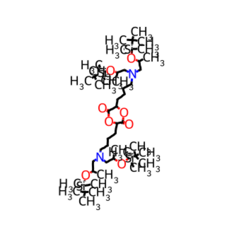 CC(CN(CCCCC1OC(=O)C(CCCCN(CC(C)O[Si](C)(C)C(C)(C)C)CC(C)O[Si](C)(C)C(C)(C)C)OC1=O)CC(C)O[Si](C)(C)C(C)(C)C)O[Si](C)(C)C(C)(C)C